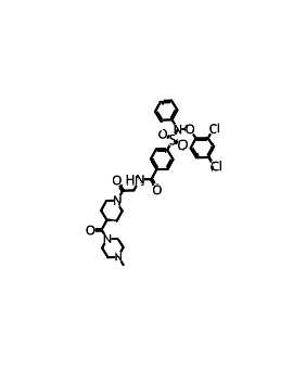 CN1CCN(C(=O)C2CCN(C(=O)CNC(=O)c3ccc(S(=O)(=O)N(Oc4ccc(Cl)cc4Cl)c4ccccc4)cc3)CC2)CC1